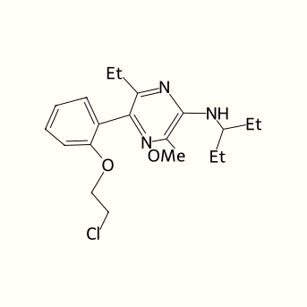 CCc1nc(NC(CC)CC)c(OC)nc1-c1ccccc1OCCCl